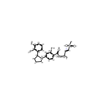 C[C@H](/C=C/S(C)(=O)=O)NC(=O)c1ccc(N2CCCC2c2cccc(F)c2F)cc1F